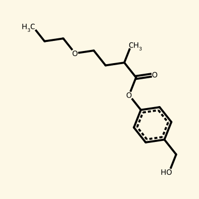 CCCOCCC(C)C(=O)Oc1ccc(CO)cc1